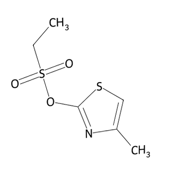 CCS(=O)(=O)Oc1nc(C)cs1